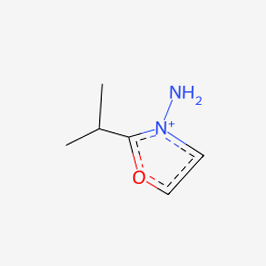 CC(C)c1occ[n+]1N